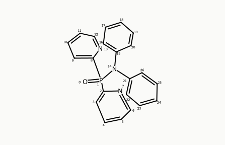 O=P(c1ccccn1)(c1ccccn1)N(c1ccccc1)c1ccccc1